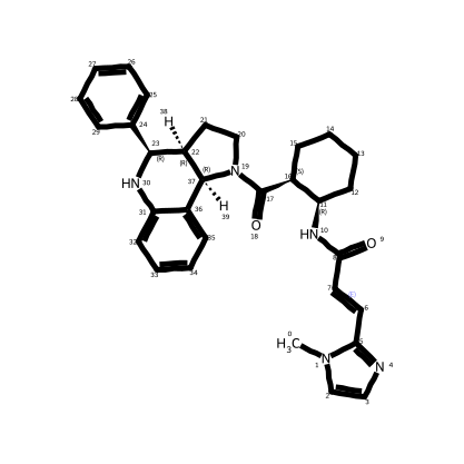 Cn1ccnc1/C=C/C(=O)N[C@@H]1CCCC[C@@H]1C(=O)N1CC[C@@H]2[C@H](c3ccccc3)Nc3ccccc3[C@@H]21